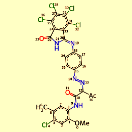 COc1cc(Cl)c(C)cc1NC(=O)C(/N=N/c1ccc(/N=C2\NC(=O)c3c(Cl)c(Cl)c(Cl)c(Cl)c32)cc1)C(C)=O